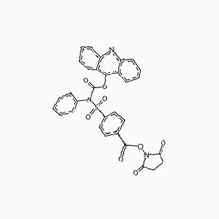 O=C(ON1C(=O)CCC1=O)c1ccc(S(=O)(=O)N(C(=O)Oc2c3ccccc3nc3ccccc23)c2ccccc2)cc1